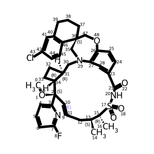 CO[C@]1(c2cccc(F)n2)/C=C/C[C@H](C)[C@@H](C)S(=O)(=O)NC(=O)c2ccc3c(c2)N(C[C@@H]2CC[C@H]21)C[C@@]1(CCCc2cc(Cl)ccc21)CO3